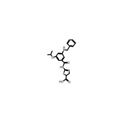 CC(C)Oc1cc(NCc2ccccc2)cc(C(=O)NC2=NCC(C(=O)O)S2)c1